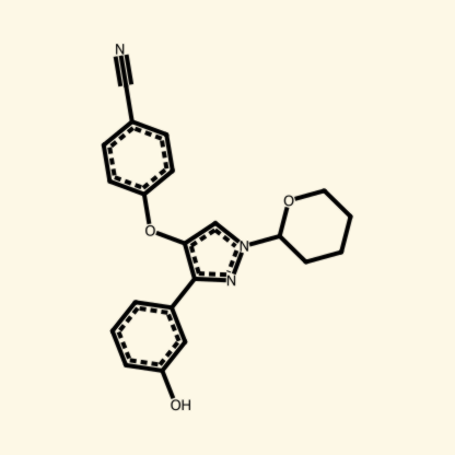 N#Cc1ccc(Oc2cn(C3CCCCO3)nc2-c2cccc(O)c2)cc1